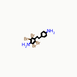 Nc1ccc(CCc2c(Br)c(Br)c(N)c(Br)c2Br)cc1